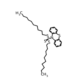 CCCCCCCCCCSP(=S)(SCCCCCCCCCC)N1c2ccccc2Sc2ccccc21